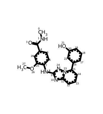 CNC(=O)c1ccc(Nc2nc3cccc(-c4cccc(O)c4)n3n2)c(OC)c1